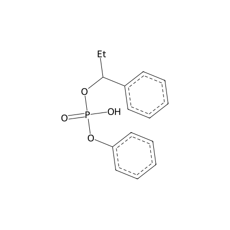 CCC(OP(=O)(O)Oc1ccccc1)c1ccccc1